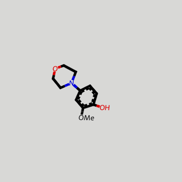 COc1cc(N2CCOCC2)ccc1O